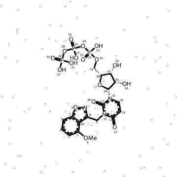 COc1cccc2onc(Cn3c(=O)ccn([C@@H]4O[C@H](COP(=O)(O)OP(=O)(O)OP(=O)(O)O)[C@H](O)[C@@H]4O)c3=O)c12